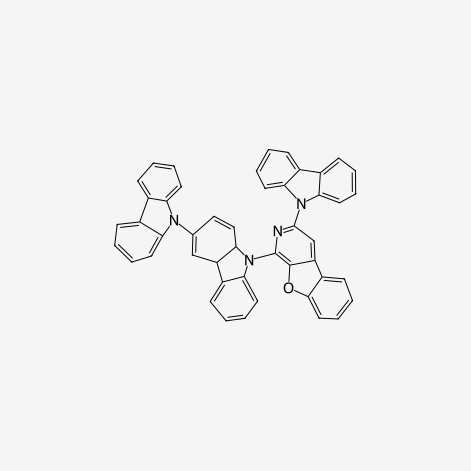 C1=CC2C(C=C1n1c3ccccc3c3ccccc31)c1ccccc1N2c1nc(-n2c3ccccc3c3ccccc32)cc2c1oc1ccccc12